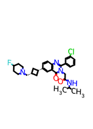 CC(C)NC(=O)Cn1c(-c2cccc(Cl)c2)nc2ccc([C@H]3C[C@@H](CN4CCC(F)CC4)C3)cc2c1=O